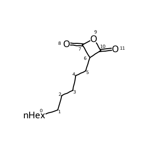 CCCCCCCCCCCC1C(=O)OC1=O